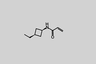 C=CC(=O)N[C@H]1C[C@@H](CC)C1